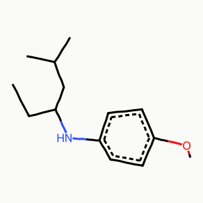 CCC(CC(C)C)Nc1ccc(OC)cc1